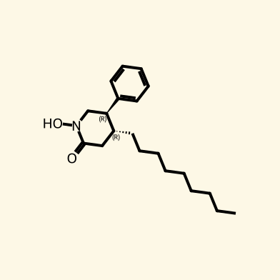 CCCCCCCCC[C@@H]1CC(=O)N(O)C[C@H]1c1ccccc1